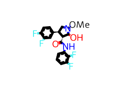 CON1C[C@H](c2ccc(F)c(F)c2)[C@@H](C(=O)Nc2cccc(F)c2F)C1O